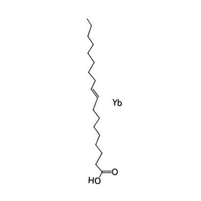 CCCCCCCCC=CCCCCCCCC(=O)O.[Yb]